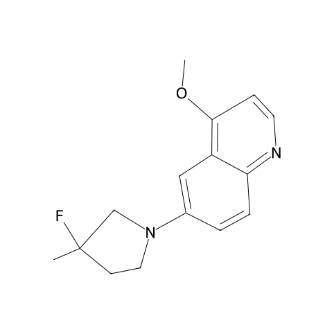 COc1ccnc2ccc(N3CCC(C)(F)C3)cc12